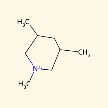 CC1CC(C)C[N+](C)C1